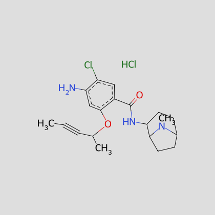 CC#CC(C)Oc1cc(N)c(Cl)cc1C(=O)NC1CCC2CCC1N2C.Cl